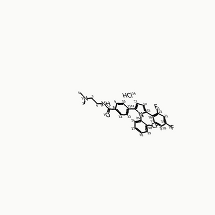 CN(C)CCNC(=O)c1ccc(-c2ccc(-c3ccc(F)cc3F)n2-c2ccccc2C(F)(F)F)cc1.Cl